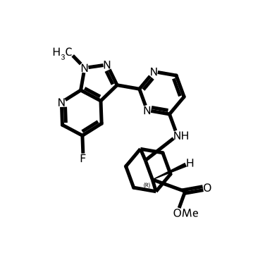 COC(=O)[C@@H]1C2CCC(CC2)C1Nc1ccnc(-c2nn(C)c3ncc(F)cc23)n1